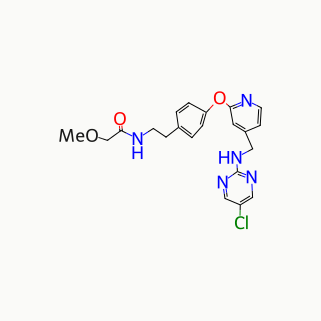 COCC(=O)NCCc1ccc(Oc2cc(CNc3ncc(Cl)cn3)ccn2)cc1